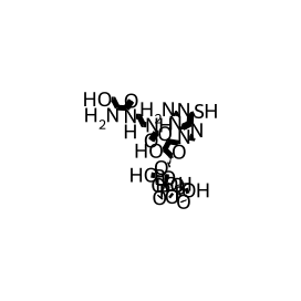 Nc1nc(S)c2ncn([C@@H]3O[C@H](COP(=O)(O)OP(=O)(O)OP(=O)(O)O)C(O)[C@@H]3OC(=O)NCCNC(=O)C(N)CO)c2n1